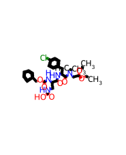 CCOC(CN(C(=O)C(Cc1ccc(Cl)cc1)NC(=O)C(CNC(=O)O)NC(=O)OCc1ccccc1)C(C)C)OCC